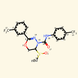 CCCC[S+]([O-])C1COC(c2cccc(C(F)(F)F)c2)=NN1C(=O)Nc1ccc(C(F)(F)F)cc1